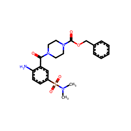 CN(C)S(=O)(=O)c1ccc(N)c(C(=O)N2CCN(C(=O)OCc3ccccc3)CC2)c1